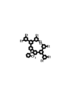 CCc1cc(CC)cc(-c2cc(-c3cc(CC)cc(CC)c3)cc(-c3ccc4c(c3)c3cc(-c5cc(-c6cc(CC)cc(CC)c6)cc(-c6cc(CC)cc(CC)c6)c5)ccc3n4-c3ccccc3C(F)(F)F)c2)c1